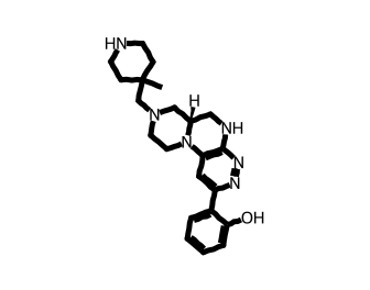 CC1(CN2CCN3c4cc(-c5ccccc5O)nnc4NC[C@H]3C2)CCNCC1